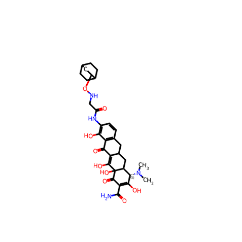 CN(C)[C@@H]1C(O)=C(C(N)=O)C(=O)C2(O)C(O)=C3C(=O)c4c(ccc(NC(=O)CNOC5CC6CCC5CC6)c4O)CC3CC12